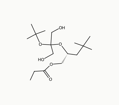 CCC(=O)OC[C@@H](CC(C)(C)C)OC(CO)(CO)OC(C)(C)C